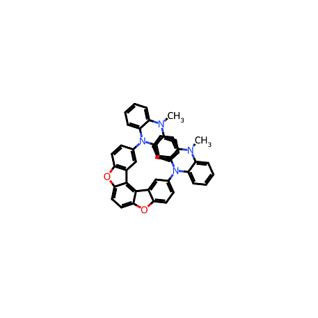 CN1c2ccccc2N(c2ccc3oc4ccc5oc6ccc(N7c8ccccc8N(C)c8ccccc87)cc6c5c4c3c2)c2ccccc21